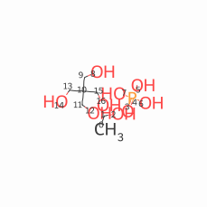 CCO.O=P(O)(O)O.OCC(CO)(CO)CO